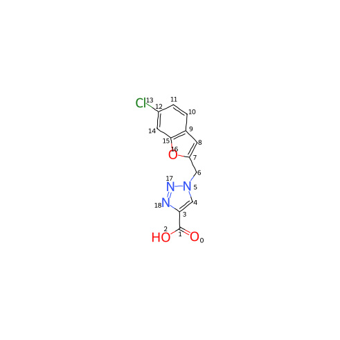 O=C(O)c1cn(Cc2cc3ccc(Cl)cc3o2)nn1